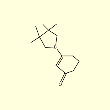 CC1(C)CB(C2=CC(=O)CCC2)CC1(C)C